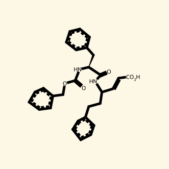 O=C(O)/C=C/C(CCc1ccccc1)NC(=O)[C@H](Cc1ccccc1)NC(=O)OCc1ccccc1